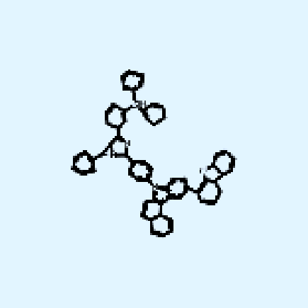 C1=CC2C=Cc3c(c4cc(C5=C6OC7C=CC=CC7C6CC=C5)ccc4n3-c3ccc(C4N=C(C5C=C([SiH](C6=CCCC=C6)c6ccccc6)C=CC5)C5C(c6ccccc6)[N@@]45)cc3)C2C=C1